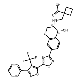 O=C(O)C1(CN[C@H]2COc3cc(-c4noc(-c5onc(-c6ccccc6)c5C(F)(F)F)n4)ccc3[C@H]2O)CCC1